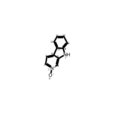 [O-][n+]1ccc2c(c1)[nH]c1ccccc12